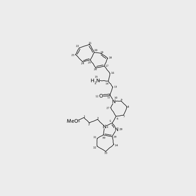 COCCCn1c(C2CCCN(C(=O)CC(N)Cc3ccc4ccccc4c3)C2)nc2c1CCCC2